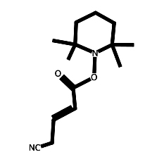 CC1(C)CCCC(C)(C)N1OC(=O)/C=C/CC#N